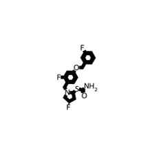 NC(=O)SC1C[C@H](F)CN1Cc1ccc(OCc2cccc(F)c2)cc1F